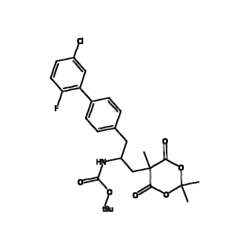 CC(C)(C)OC(=O)NC(Cc1ccc(-c2cc(Cl)ccc2F)cc1)CC1(C)C(=O)OC(C)(C)OC1=O